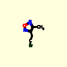 Cc1nonc1CCBr